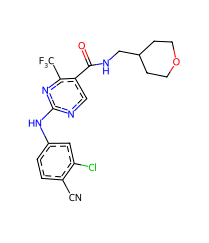 N#Cc1ccc(Nc2ncc(C(=O)NCC3CCOCC3)c(C(F)(F)F)n2)cc1Cl